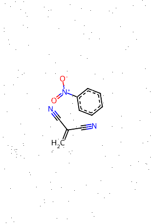 C=C(C#N)C#N.O=[N+]([O-])c1ccccc1